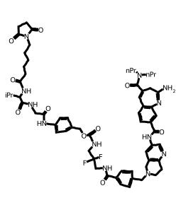 CCCN(CCC)C(=O)C1=Cc2ccc(C(=O)Nc3cnc4c(c3)CN(Cc3ccc(C(=O)NCC(F)(F)CNC(=O)OCc5ccc(NC(=O)CNC(=O)C(NC(=O)CCCCCN6C(=O)CCC6=O)C(C)C)cc5)cc3)CC4)cc2N=C(N)C1